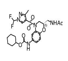 CC(=O)NC[C@H]1CN(S(=O)(=O)c2cn(C(F)F)nc2C)c2cc(NC(=O)OC3CCCCC3)ccc2O1